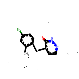 Cc1cc(Br)ccc1Cc1ccn[nH]c1=O